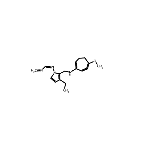 C=N/C=N\n1ccc(CC)c1CNC1=CCCC(OC)=C=C1